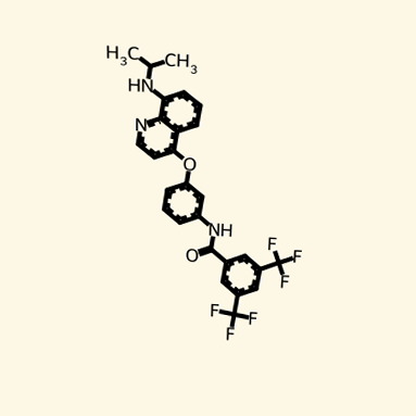 CC(C)Nc1cccc2c(Oc3cccc(NC(=O)c4cc(C(F)(F)F)cc(C(F)(F)F)c4)c3)ccnc12